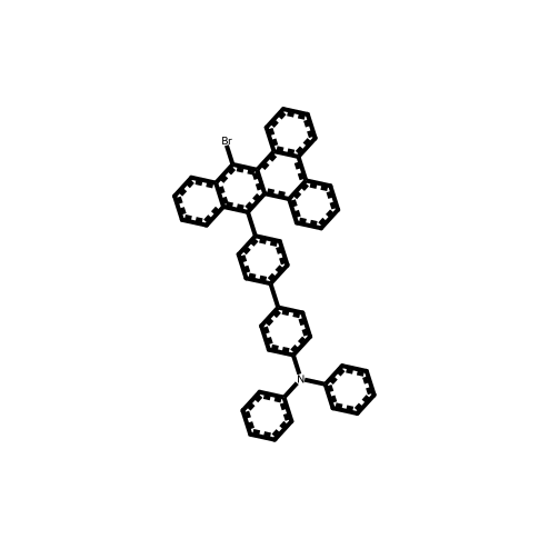 Brc1c2ccccc2c(-c2ccc(-c3ccc(N(c4ccccc4)c4ccccc4)cc3)cc2)c2c3ccccc3c3ccccc3c12